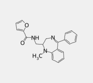 CN1c2ccccc2C(c2ccccc2)=NCC1CNC(=O)c1ccco1